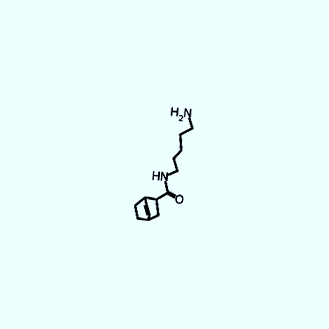 NCCCCCNC(=O)C1CC2C=CC1CC2